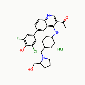 CC(=O)c1cnc2ccc(-c3cc(F)c(O)c(Cl)c3)cc2c1NC1CCC(CN2CCCC2CO)CC1.Cl